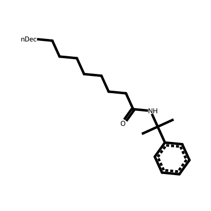 CCCCCCCCCCCCCCCCCC(=O)NC(C)(C)c1ccccc1